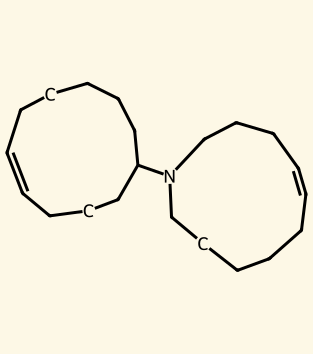 C1=CCCCC(N2CCCC=CCCCCC2)CCCCC1